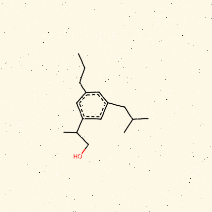 CCCc1cc(CC(C)C)cc([C](C)CO)c1